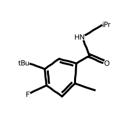 Cc1cc(F)c(C(C)(C)C)cc1C(=O)NC(C)C